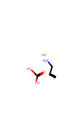 C=CCN.Cl.O=C(O)O